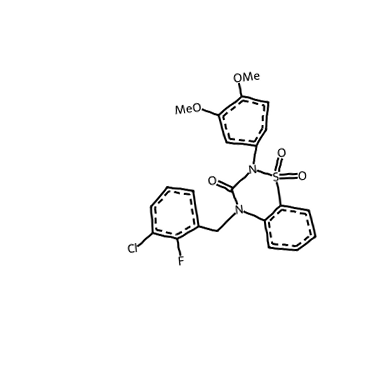 COc1ccc(N2C(=O)N(Cc3cccc(Cl)c3F)c3ccccc3S2(=O)=O)cc1OC